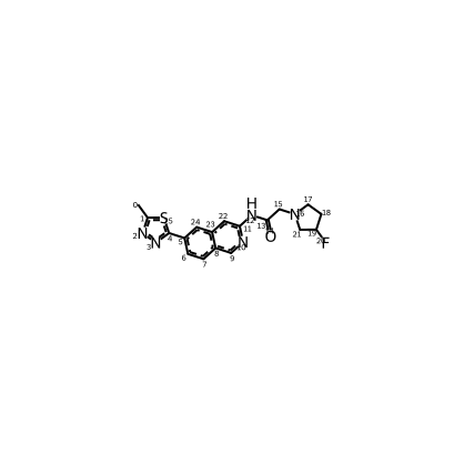 Cc1nnc(-c2ccc3cnc(NC(=O)CN4CCC(F)C4)cc3c2)s1